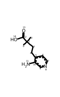 CC(C)(CCc1ccncc1N)C(=O)O